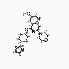 Oc1cnc2cc(N3CCOCC3)nc(O[C@H]3CC[C@@H](c4nccs4)CC3)c2c1